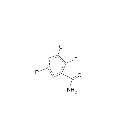 NC(=O)c1cc(F)cc(Cl)c1F